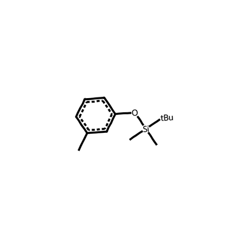 Cc1cccc(O[Si](C)(C)C(C)(C)C)c1